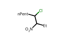 CCCCCC(Cl)C(CC)[N+](=O)[O-]